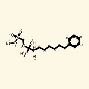 CCOS(=O)(=O)COC(C)(C)[PH](=O)CCCCCCc1ccccc1